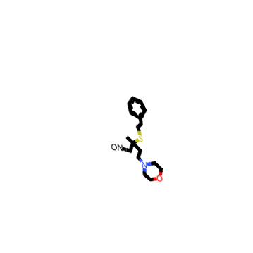 CC(CCN1CCOCC1)(CN=O)SCCc1ccccc1